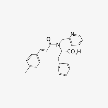 Cc1ccc(C=CC(=O)N(Cc2ccccn2)C(Cc2ccccc2)C(=O)O)cc1